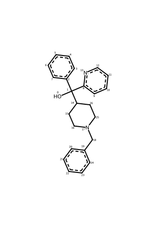 OC(c1ccccc1)(c1ccccn1)C1CCN(Cc2ccccc2)CC1